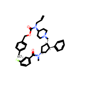 C=CCN(C(=O)OCc1ccc([N+](=O)[O-])cc1)C1CCN(C[C@H]2C[C@H](N(C)C(=O)c3cccc(F)c3)C[C@@H]2c2ccccc2)CC1